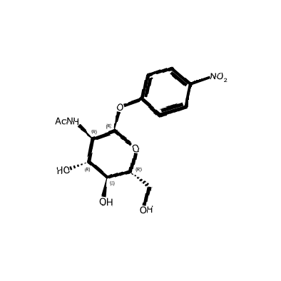 CC(=O)N[C@H]1[C@@H](Oc2ccc([N+](=O)[O-])cc2)O[C@H](CO)[C@@H](O)[C@@H]1O